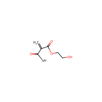 C=C(C(=O)CCC)C(=O)OCCO